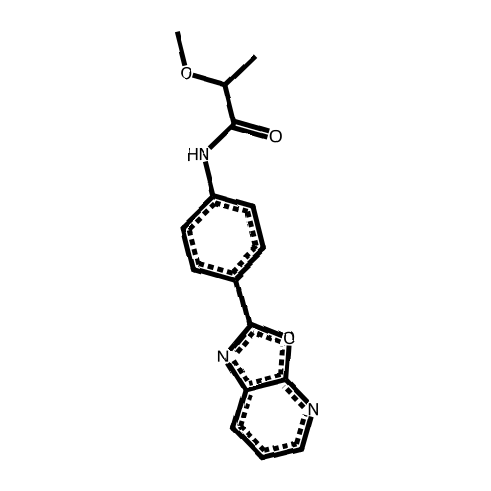 COC(C)C(=O)Nc1ccc(-c2nc3cccnc3o2)cc1